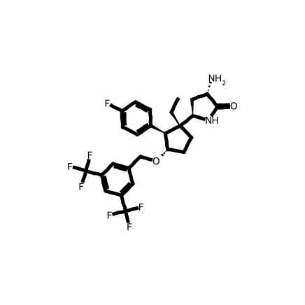 CC[C@@]1([C@H]2C[C@H](N)C(=O)N2)CC[C@H](OCc2cc(C(F)(F)F)cc(C(F)(F)F)c2)[C@H]1c1ccc(F)cc1